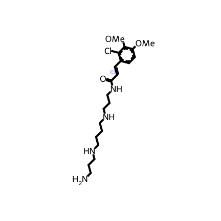 COc1ccc(/C=C/C(=O)NCCCNCCCCNCCCN)c(Cl)c1OC